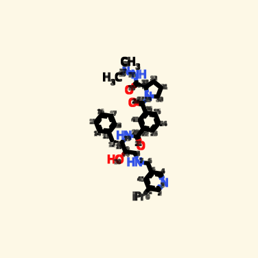 CC(C)c1cncc(CNC[C@@H](O)[C@H](Cc2ccccc2)NC(=O)c2cccc(C(=O)N3CCC[C@@H]3C(=O)NN(C)C)c2)c1